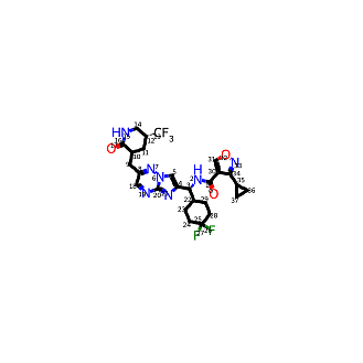 O=C(N[C@H](c1cn2nc(CC3C[C@@H](C(F)(F)F)CNC3=O)cnc2n1)C1CCC(F)(F)CC1)c1conc1C1CC1